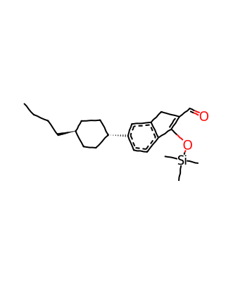 CCCC[C@H]1CC[C@H](c2ccc3c(c2)CC(C=O)=C3O[Si](C)(C)C)CC1